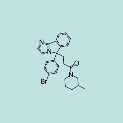 CC1CCCN(C(=O)CCC2(c3ccc(Br)cc3)c3ccccc3-c3nccn32)C1